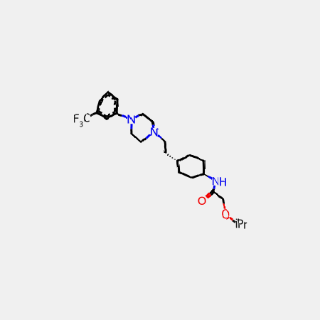 CC(C)OCC(=O)N[C@H]1CC[C@H](CCN2CCN(c3cccc(C(F)(F)F)c3)CC2)CC1